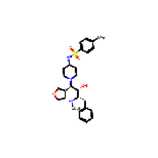 COc1ccc(S(=O)(=O)NC2CCN([C@H](C3CCOC3)[C@H](O)[C@H](Cc3ccccc3)NC(=O)O)CC2)cc1